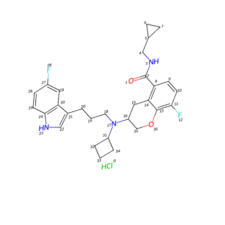 Cl.O=C(NCC1CC1)c1ccc(F)c2c1CC(N(CCCc1c[nH]c3ccc(F)cc13)C1CCC1)CO2